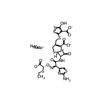 CCS[C@@H](O/N=C(\C(=O)N[C@@H]1C(=O)N2C(C(=O)[O-])=C(CSc3snc(O)c3C(=O)[O-])CS[C@@H]12)c1csc(N)n1)C(=O)[O-].[Na+].[Na+].[Na+]